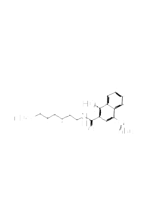 CCCCCCCCCCCCCCCCNC(=O)c1cc(OCCCC)c2ccccc2c1O